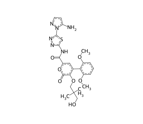 COc1cccc(OC)c1-c1cc(C(=O)Nc2nnc(-n3nccc3N)s2)oc(=O)c1OCC(C)(C)CO